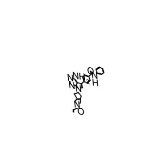 C=CC(=O)N1CC2=C(CC(n3cc(-c4ccc(C(=O)Nc5ccccc5)cc4)c4c(N)ncnc43)C2)C1